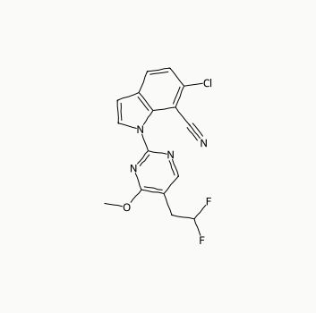 COc1nc(-n2ccc3ccc(Cl)c(C#N)c32)ncc1CC(F)F